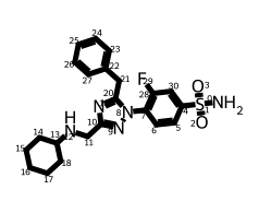 NS(=O)(=O)c1ccc(-n2nc(CNC3CCCCC3)nc2Cc2ccccc2)c(F)c1